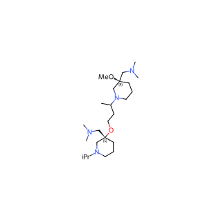 CO[C@@]1(CN(C)C)CCCN(C(C)CCO[C@]2(CN(C)C)CCCN(C(C)C)C2)C1